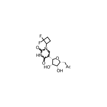 CC(=O)C[C@H]1O[C@@H](c2cn(C3CCC3(F)F)c(=O)[nH]c2=O)[C@@H](O)[C@H]1O